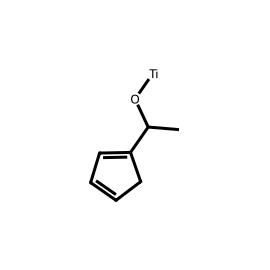 CC([O][Ti])C1=CC=CC1